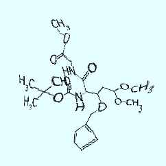 CCOC(=O)CNC(=O)[C@@H](NC(=O)OC(C)(C)C)C(CC(OC)OC)OCc1ccccc1